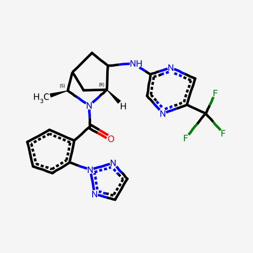 C[C@H]1C2CC(Nc3cnc(C(F)(F)F)cn3)[C@@H](C2)N1C(=O)c1ccccc1-n1nccn1